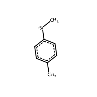 C[Si]c1ccc(C)cc1